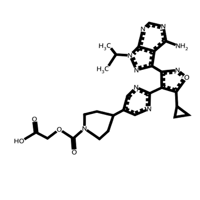 CC(C)n1nc(-c2noc(C3CC3)c2-c2ncc(C3CCN(C(=O)OCC(=O)O)CC3)cn2)c2c(N)ncnc21